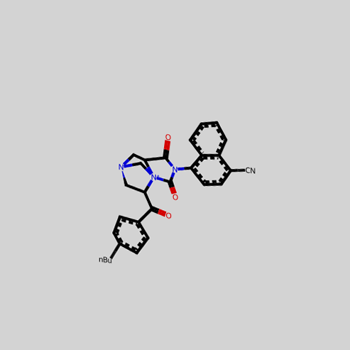 CCCCc1ccc(C(=O)C2C[N@@]3CC4C(=O)N(c5ccc(C#N)c6ccccc56)C(=O)[N+]24C3)cc1